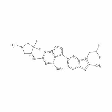 CNc1nc(N[C@H]2CN(C)CC2(F)F)nn2ccc(-c3ccc4nc(C)n(CC(F)F)c4n3)c12